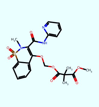 COC(=O)C(C)(C)C(=O)OCOC1=C(C(=O)Nc2ccccn2)N(C)S(=O)(=O)c2ccccc21